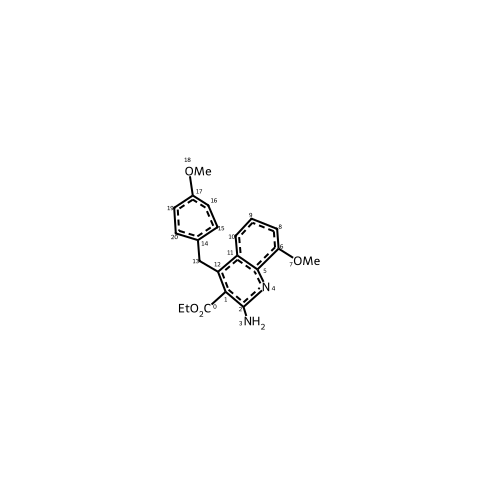 CCOC(=O)c1c(N)nc2c(OC)cccc2c1Cc1ccc(OC)cc1